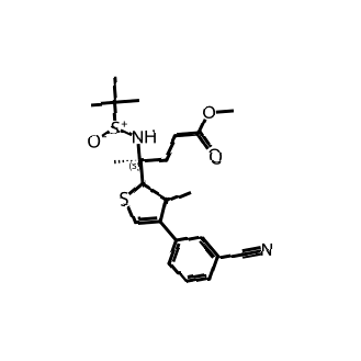 COC(=O)CC[C@](C)(N[S+]([O-])C(C)(C)C)C1SC=C(c2cccc(C#N)c2)C1C